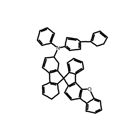 C1=CCCC(c2ccc(N(c3ccccc3)C3C=CC4=C(C3)C3(C5=C4C=CCC5)c4ccccc4-c4c3ccc3c4oc4ccccc43)cc2)=C1